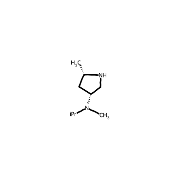 CC(C)N(C)[C@H]1CN[C@@H](C)C1